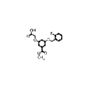 COC(=O)c1cc(OCC(=O)O)cc(OCc2ccccc2F)c1